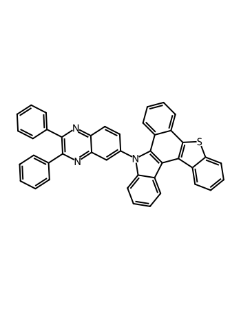 c1ccc(-c2nc3ccc(-n4c5ccccc5c5c6c7ccccc7sc6c6ccccc6c54)cc3nc2-c2ccccc2)cc1